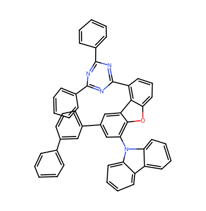 c1ccc(-c2cccc(-c3cc(-n4c5ccccc5c5ccccc54)c4oc5cccc(-c6nc(-c7ccccc7)nc(-c7ccccc7)n6)c5c4c3)c2)cc1